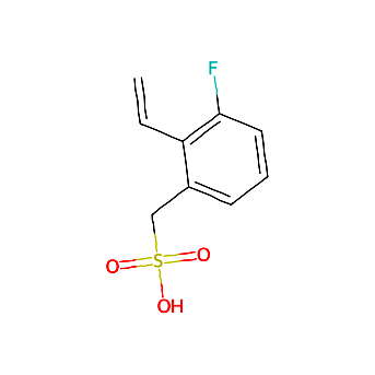 C=Cc1c(F)cccc1CS(=O)(=O)O